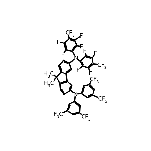 CC1(C)c2ccc(N(c3cc(C(F)(F)F)cc(C(F)(F)F)c3)c3cc(C(F)(F)F)cc(C(F)(F)F)c3)cc2-c2cc(N(c3c(F)c(F)c(C(F)(F)F)c(F)c3F)c3c(F)c(F)c(C(F)(F)F)c(F)c3F)ccc21